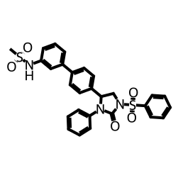 CS(=O)(=O)Nc1cccc(-c2ccc(C3CN(S(=O)(=O)c4ccccc4)C(=O)N3c3ccccc3)cc2)c1